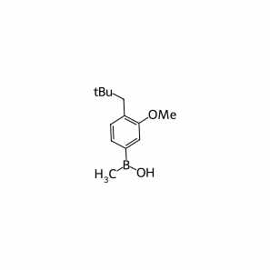 COc1cc(B(C)O)ccc1CC(C)(C)C